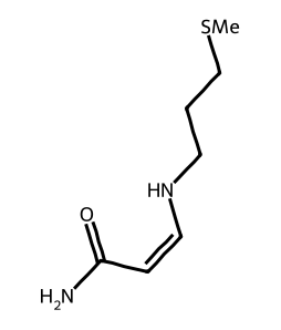 CSCCCN/C=C\C(N)=O